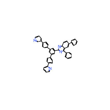 c1ccc(-c2ccc3nc(-c4cc(-c5ccc(-c6cccnc6)cc5)cc(-c5ccc(-c6ccccn6)cc5)c4)nc(-c4ccccc4)c3c2)cc1